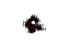 CC(C)C[C@H](NC(=O)CCNC(=O)c1ccc2c(c1)C(=O)OC21c2ccc(O)cc2Oc2cc(O)ccc21)C(=O)N[C@H](C(=O)N[C@@H](Cc1ccccc1)C(=O)N[C@]1(C)CCCC2C3=CCC4(O)C(CC/C=C/CCC[C@@](C)(C=O)NC(=O)[C@H](CC5CCC5)NN[C@@H](CCC(N)=O)C(=O)CN[C@@H](C)C(=O)CC(=O)[C@H](Cc5c[nH]c6ccccc56)NC(=O)[C@H](C3)NC(=O)[C@H](CCC(=O)O)NC1=O)CCC24)[C@@H](C)O